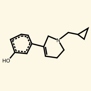 Oc1cccc(C2=CCCN(CC3CC3)C2)c1